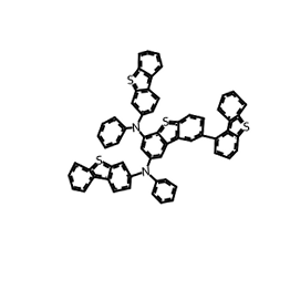 c1ccc(N(c2ccc3c(c2)sc2ccccc23)c2cc(N(c3ccccc3)c3ccc4c(c3)sc3ccccc34)c3sc4ccc(-c5cccc6sc7ccccc7c56)cc4c3c2)cc1